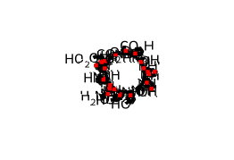 CN1C(=O)CSC[C@@H](C(=O)N[C@H](CCC(=O)O)C(=O)O)NC(=O)[C@H](CC2CCCCC2)NC(=O)[C@H](CC2CCNCC2)NC(=O)[C@H](CCCNC(N)=O)NC(=O)[C@H](Cc2ccc(O)cc2)NC(=O)[C@H](Cc2ccc(O)cc2)NC(=O)[C@H](CO)NC(=O)[C@H](Cc2ccc(F)cc2)NC(=O)[C@H](CC2CCCCC2)NC(=O)[C@H](CO)NC(=O)[C@H](Cc2ccccc2)N(C)C(=O)[C@@H]1CCC(=O)O